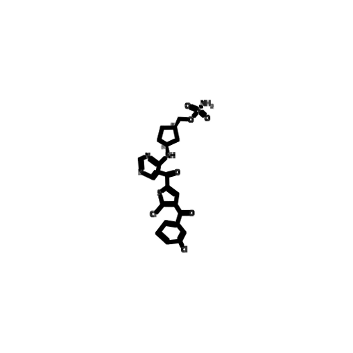 NS(=O)(=O)OC[C@@H]1CC[C@H](Nc2ncncc2C(=O)c2cc(C(=O)c3cccc(Cl)c3)c(Cl)s2)C1